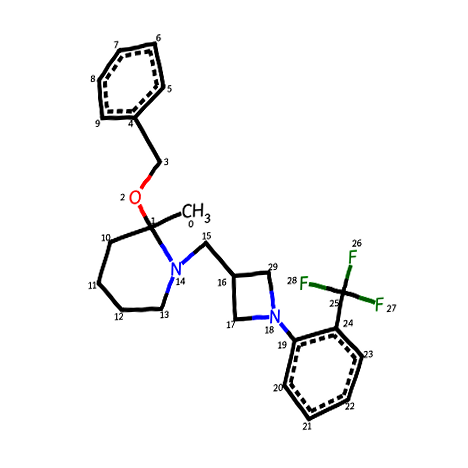 CC1(OCc2ccccc2)CCCCN1CC1CN(c2ccccc2C(F)(F)F)C1